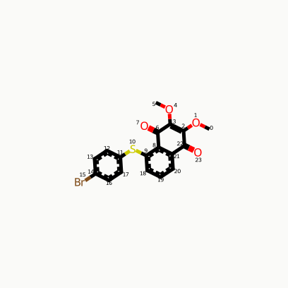 COC1=C(OC)C(=O)c2c(Sc3ccc(Br)cc3)cccc2C1=O